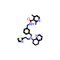 Cc1ccnc(C)c1C(=O)NCc1cccc(CN(CCc2nccs2)C2CCCc3cccnc32)c1